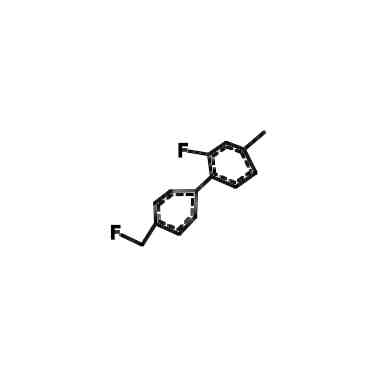 Cc1ccc(-c2ccc(CF)cc2)c(F)c1